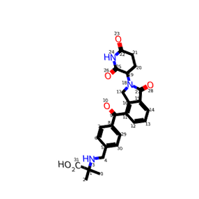 CC(C)(NCc1ccc(C(=O)c2cccc3c2CN(C2CCC(=O)NC2=O)C3=O)cc1)C(=O)O